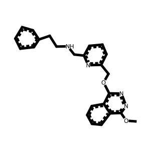 COc1nnc(OCc2cccc(CNCCc3ccccc3)n2)c2ccccc12